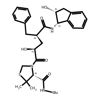 CC(C)(C)NC(=O)[C@H]1N(C(=O)[C@@H](O)C[C@@H](Cc2ccccc2)C(=O)N[C@H]2c3ccccc3C[C@H]2O)CSC1(C)C